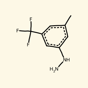 Cc1cc(NN)cc(C(F)(F)F)c1